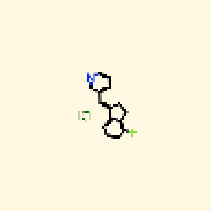 Cl.Fc1cccc2c1CC/C2=C\c1cccnc1